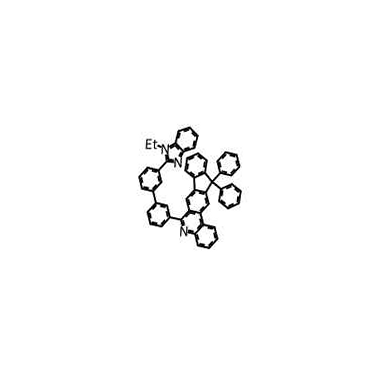 CCn1c(-c2cccc(-c3cccc(-c4nc5ccccc5c5cc6c(cc45)-c4ccccc4C6(c4ccccc4)c4ccccc4)c3)c2)nc2ccccc21